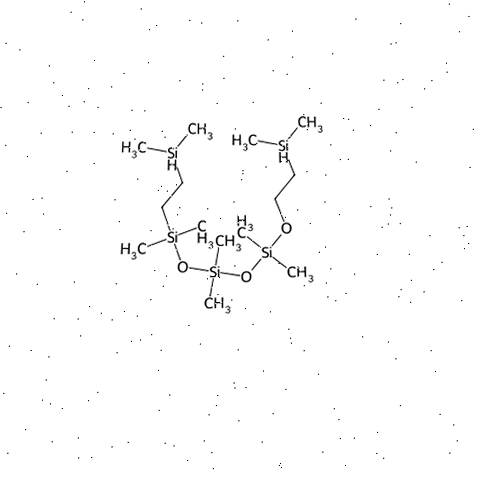 C[SiH](C)CCO[Si](C)(C)O[Si](C)(C)O[Si](C)(C)CC[SiH](C)C